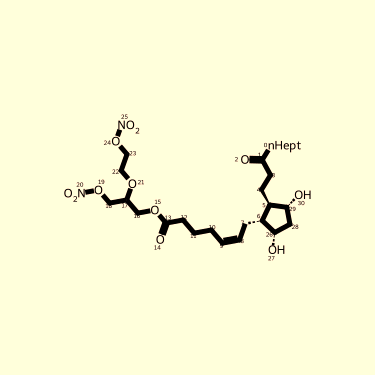 CCCCCCCC(=O)CC[C@@H]1[C@@H](C/C=C\CCCC(=O)OCC(CO[N+](=O)[O-])OCCO[N+](=O)[O-])[C@@H](O)C[C@H]1O